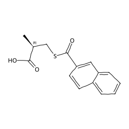 C[C@@H](CSC(=O)c1ccc2ccccc2c1)C(=O)O